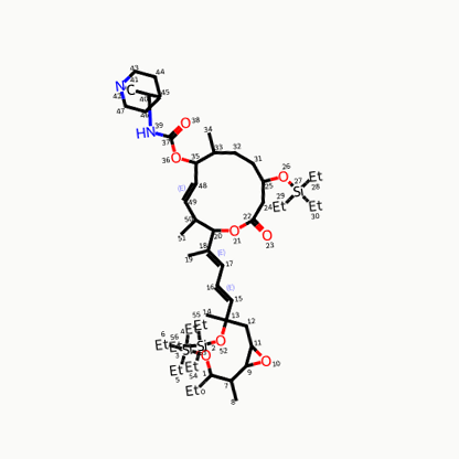 CCC(O[Si](CC)(CC)CC)C(C)C1OC1CC(C)(/C=C/C=C(\C)C1OC(=O)CC(O[Si](CC)(CC)CC)CCC(C)C(OC(=O)NC2CN3CCC2CC3)/C=C/C1C)O[Si](CC)(CC)CC